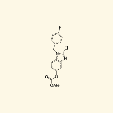 COC(=O)Oc1ccc2c(c1)nc(Cl)n2Cc1ccc(F)cc1